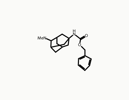 CNC1C2CC3CC1CC(NC(=O)OCc1ccccc1)(C3)C2